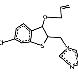 C=CCOC1c2ccc(Cl)cc2SC1Cn1ccnc1